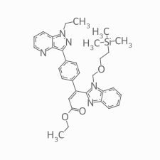 CCOC(=O)C=C(c1ccc(-c2nn(CC)c3cccnc23)cc1)c1nc2ccccc2n1COCC[Si](C)(C)C